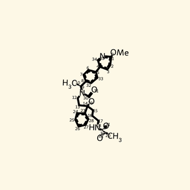 COc1ccc(-c2ccc([C@H](C)N3CCC(CCCNS(C)(=O)=O)(c4ccccc4)OC3=O)cc2)cn1